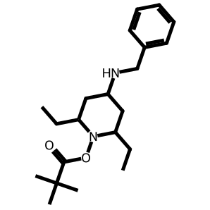 CCC1CC(NCc2ccccc2)CC(CC)N1OC(=O)C(C)(C)C